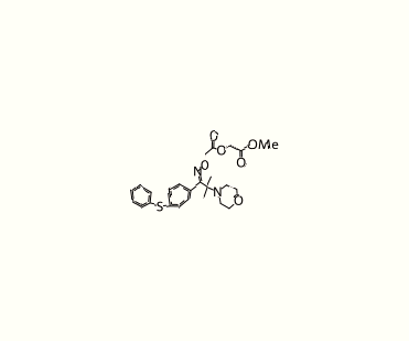 COC(=O)COC(=O)CON=C(c1ccc(Sc2ccccc2)cc1)C(C)(C)N1CCOCC1